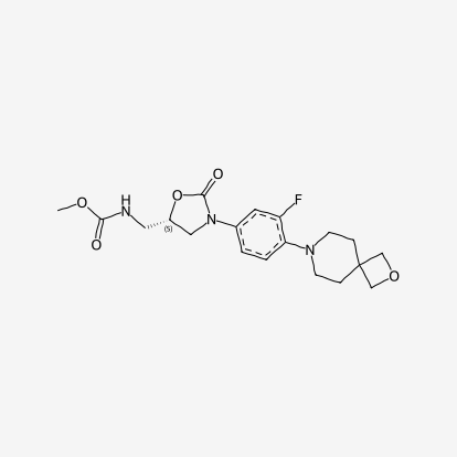 COC(=O)NC[C@H]1CN(c2ccc(N3CCC4(CC3)COC4)c(F)c2)C(=O)O1